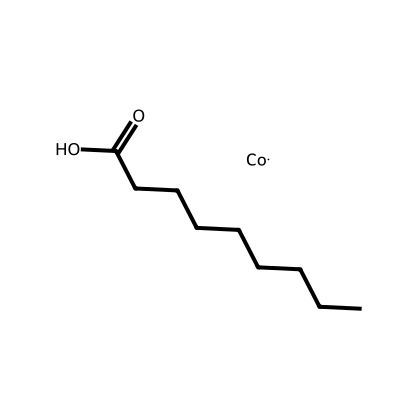 CCCCCCCCC(=O)O.[Co]